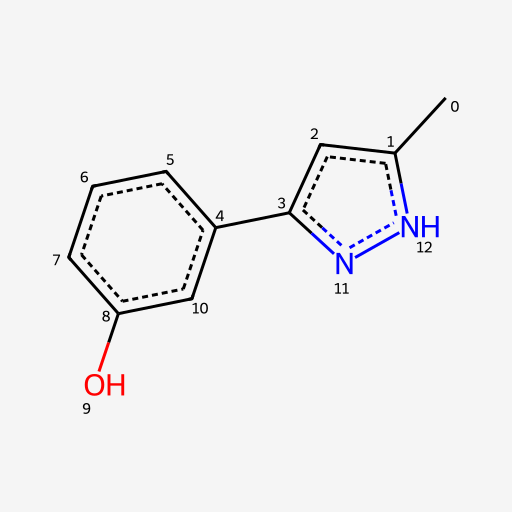 Cc1cc(-c2cccc(O)c2)n[nH]1